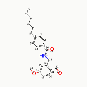 CCCCCCc1ccc(C(=O)NCc2cc(OC)ccc2C=O)cc1